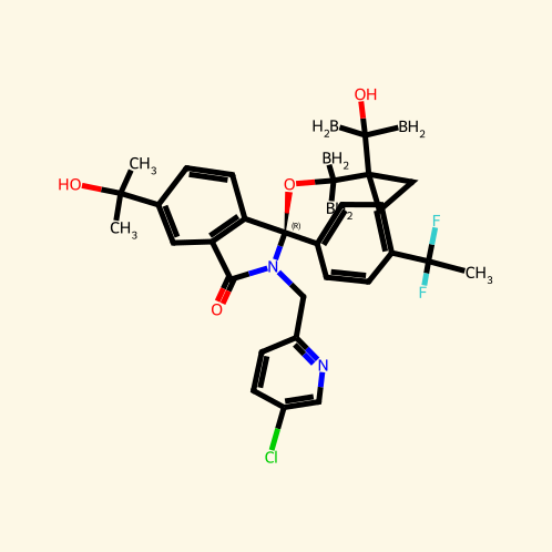 BC(B)(O)C1(C(B)(B)O[C@]2(c3ccc(C(C)(F)F)cc3)c3ccc(C(C)(C)O)cc3C(=O)N2Cc2ccc(Cl)cn2)CC1